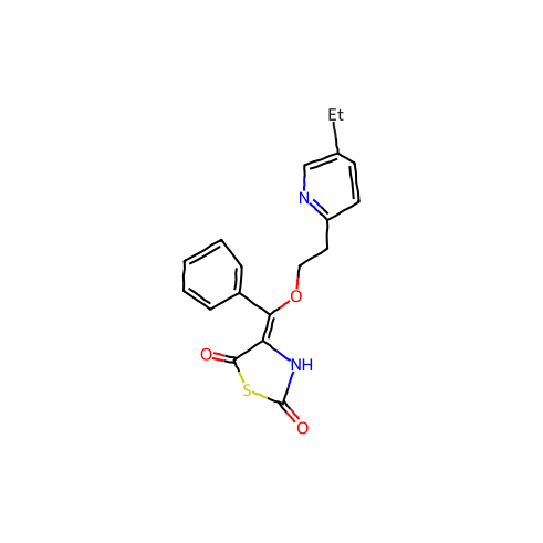 CCc1ccc(CCOC(=C2NC(=O)SC2=O)c2ccccc2)nc1